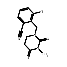 CN1C(=O)CCN(Cc2c(Cl)cccc2C#N)C1=O